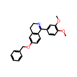 COc1ccc(C2=NCCc3cc(OCc4ccccc4)ccc32)cc1OC